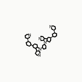 c1cncc(-c2cccc(-c3ccc4c(c3)c3ccncc3n4-c3cccc(-n4c5ccc(-c6cccc(-c7cccnc7)c6)cc5c5ccncc54)c3)c2)c1